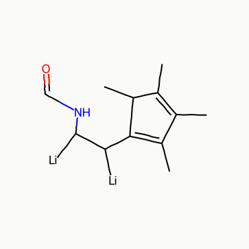 [Li][CH](NC=O)[CH]([Li])C1=C(C)C(C)=C(C)C1C